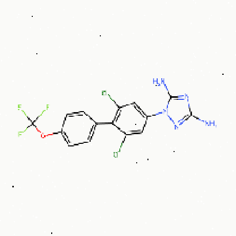 Nc1nc(N)n(-c2cc(Cl)c(-c3ccc(OC(F)(F)F)cc3)c(Cl)c2)n1